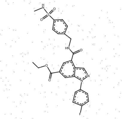 CCOC(=O)c1cc(C(=O)NCc2ccc(S(=O)(=O)NC)cc2)c2cnn(-c3ccc(F)cc3)c2c1